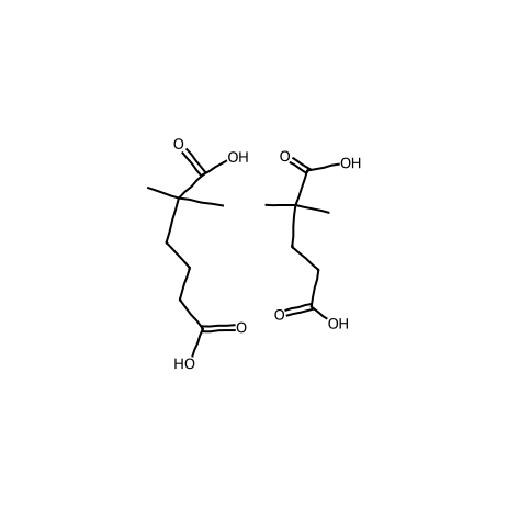 CC(C)(CCC(=O)O)C(=O)O.CC(C)(CCCC(=O)O)C(=O)O